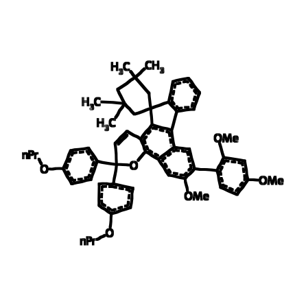 CCCOc1ccc(C2(c3ccc(OCCC)cc3)C=Cc3c4c(c5cc(-c6ccc(OC)cc6OC)c(OC)cc5c3O2)-c2ccccc2C42CC(C)(C)CC(C)(C)C2)cc1